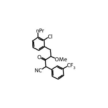 CCCc1cccc(CC(OC)C(=O)C(C#N)c2cccc(C(F)(F)F)c2)c1Cl